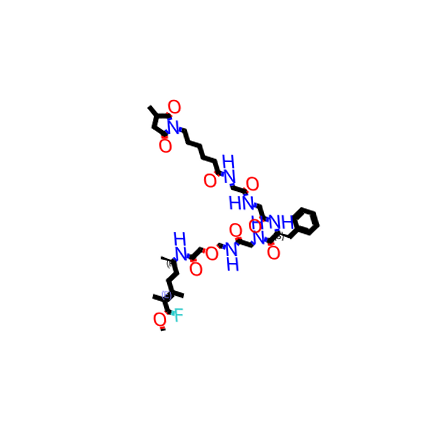 COC(F)/C(C)=C(\C)CC[C@@H](C)NC(=O)COCNC(=O)CNC(=O)[C@H](Cc1ccccc1)NC(=O)CNC(=O)CNC(=O)CCCCCN1C(=O)CC(C)C1=O